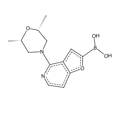 C[C@@H]1CN(c2nccc3oc(B(O)O)cc23)C[C@H](C)O1